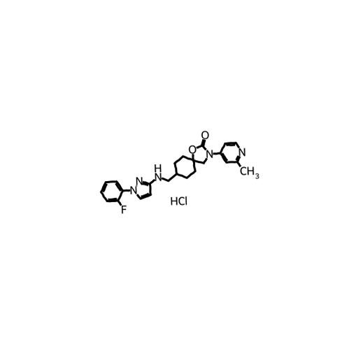 Cc1cc(N2CC3(CCC(CNc4ccn(-c5ccccc5F)n4)CC3)OC2=O)ccn1.Cl